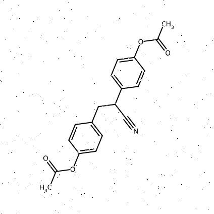 CC(=O)Oc1ccc(CC(C#N)c2ccc(OC(C)=O)cc2)cc1